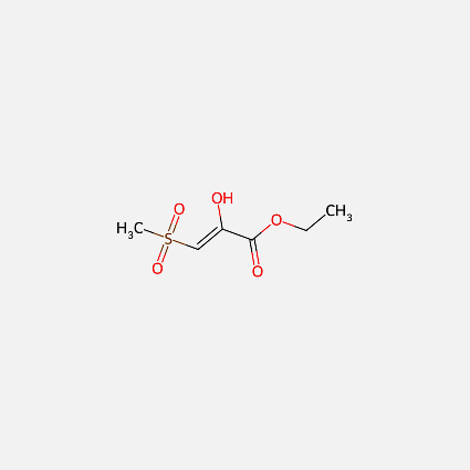 CCOC(=O)C(O)=CS(C)(=O)=O